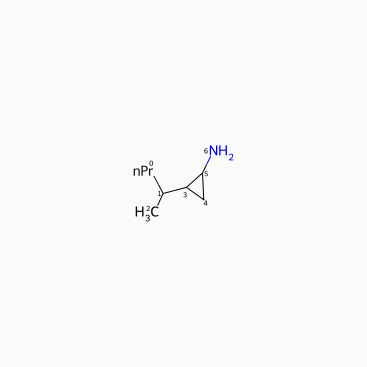 CCCC(C)C1CC1N